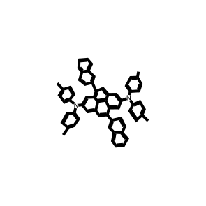 Cc1ccc(N(c2ccc(C)cc2)c2cc3cc(-c4ccc5ccccc5c4)c4cc(N(c5ccc(C)cc5)c5ccc(C)cc5)cc5cc(-c6ccc7ccccc7c6)c(c2)c3c54)cc1